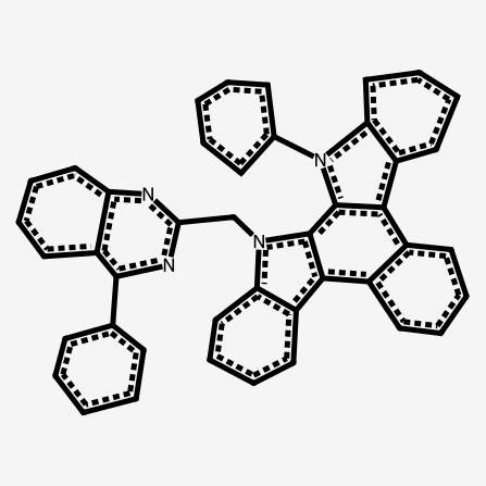 c1ccc(-c2nc(Cn3c4ccccc4c4c5ccccc5c5c6ccccc6n(-c6ccccc6)c5c43)nc3ccccc23)cc1